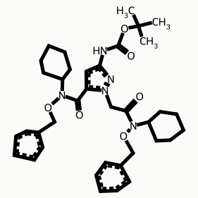 CC(C)(C)OC(=O)Nc1cc(C(=O)N(OCc2ccccc2)C2CCCCC2)n(CC(=O)N(OCc2ccccc2)C2CCCCC2)n1